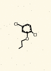 CCCOc1cc(Cl)ccc1Cl